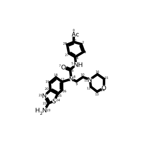 CC(=O)c1ccc(NC(=O)N(CCN2CCOCC2)c2ccc3nc(N)sc3c2)cc1